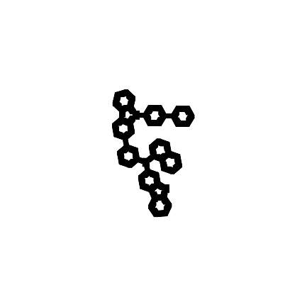 c1ccc(-c2ccc(-n3c4ccccc4c4ccc(-c5cccc(N(c6ccc7c(c6)sc6ccccc67)c6cccc7ccccc67)c5)cc43)cc2)cc1